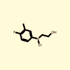 CCN(CCO)c1ccc(F)c(C)c1